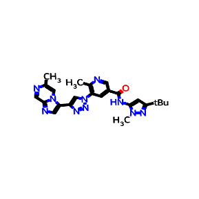 Cc1cn2c(-c3cn(-c4cc(C(=O)Nc5cc(C(C)(C)C)nn5C)cnc4C)nn3)cnc2cn1